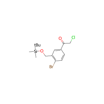 CC(C)(C)[Si](C)(C)OCc1cc(C(=O)CCl)ccc1Br